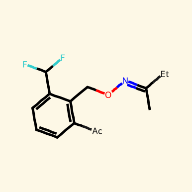 CCC(C)=NOCc1c(C(C)=O)cccc1C(F)F